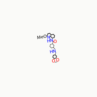 COc1ccc2cccc(NC(=O)C3CCCC(CNCc4ccc5c(c4)OCCO5)C3)c2n1